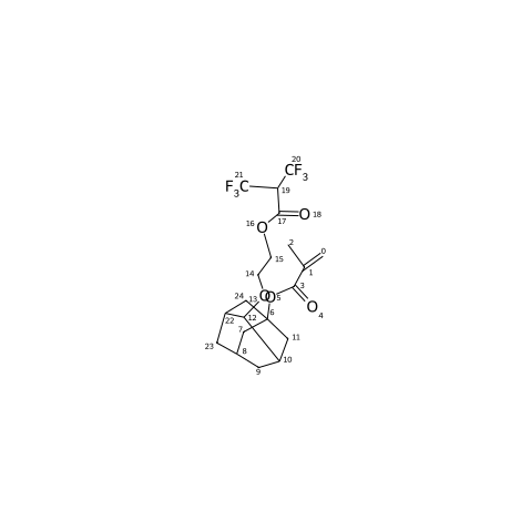 C=C(C)C(=O)OC12CC3CC(C1)C(OCCOC(=O)C(C(F)(F)F)C(F)(F)F)C(C3)C2